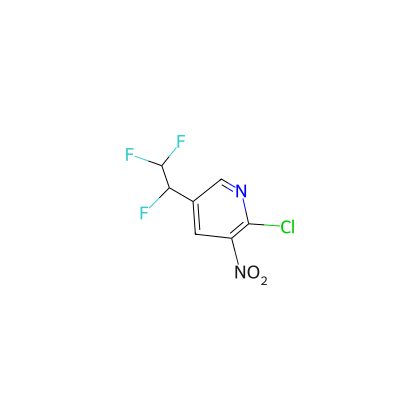 O=[N+]([O-])c1cc(C(F)C(F)F)cnc1Cl